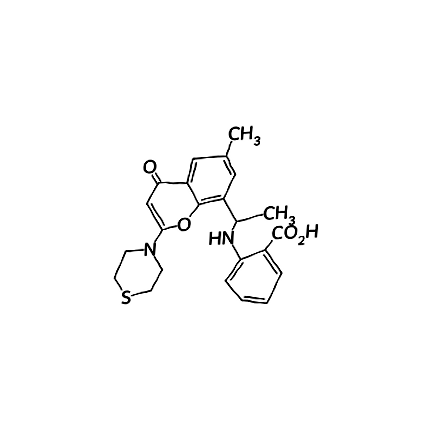 Cc1cc(C(C)Nc2ccccc2C(=O)O)c2oc(N3CCSCC3)cc(=O)c2c1